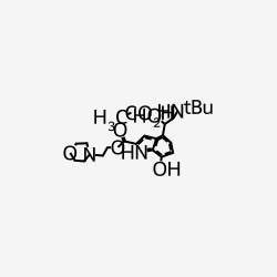 CC(=O)O.CC(C)(C)NCC(O)c1ccc(O)c2[nH]c(C(=O)OCCN3CCOCC3)cc12